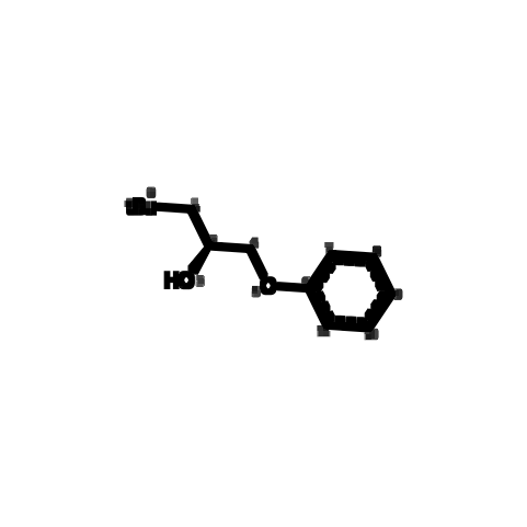 CC(C)(C)[CH][C@H](O)COc1ccccc1